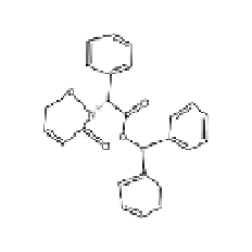 O=C(OC(c1ccccc1)c1ccccc1)[C@@H](c1ccccc1)N1OCC=CC1=O